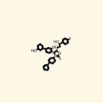 Oc1cccc(-c2ccc([C@@H]3[C@@H](CC[C@H](O)c4ccc(F)cc4)OC(=S)N3c3ccc(-c4ccccc4)cc3)c(O)c2)c1